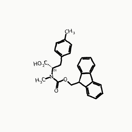 Cc1ccc(C[C@@H](C(=O)O)N(C)C(=O)OCC2c3ccccc3-c3ccccc32)cc1